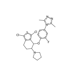 Cc1nnc(C)n1-c1ccc(OC2c3c(Cl)sc(Cl)c3CCC2N2CCCC2)c(F)c1